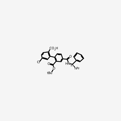 CCC[C@@H](NC(=O)c1ccc(-c2cc(Cl)ccc2C(=O)O)c(C(=O)OC(C)(C)C)c1)c1ccccc1